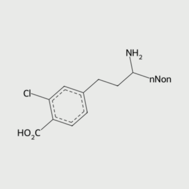 CCCCCCCCCC(N)CCc1ccc(C(=O)O)c(Cl)c1